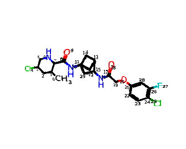 CC1CC(Cl)CNC1C(=O)NC12CC(C1)C(NC(=O)COc1ccc(Cl)c(F)c1)C2